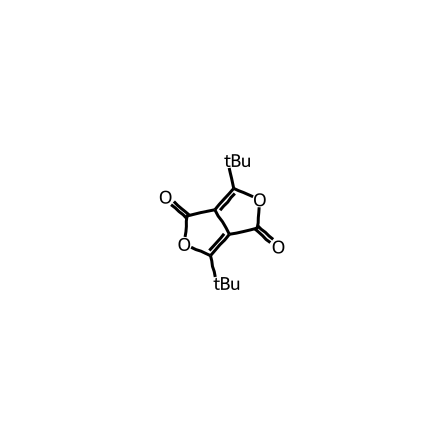 CC(C)(C)C1=C2C(=O)OC(C(C)(C)C)=C2C(=O)O1